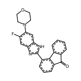 O=C1c2ccccc2-c2c1cccc2-c1nc2cc(F)c(N3CCOCC3)cc2[nH]1